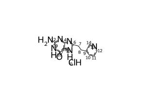 Cl.Nc1nc2nc(CCc3cccnc3)[nH]c2c(=O)[nH]1